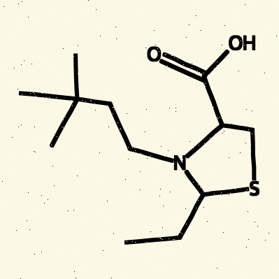 CCC1SCC(C(=O)O)N1CCC(C)(C)C